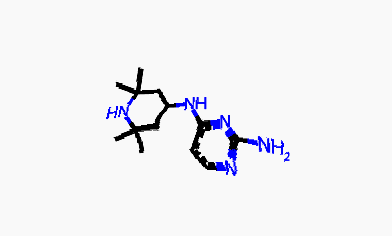 CC1(C)CC(Nc2ccnc(N)n2)CC(C)(C)N1